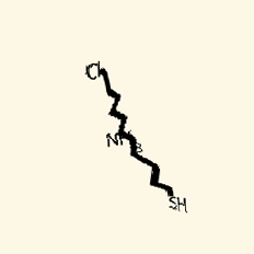 N.SCCCCCCCCCCCCl